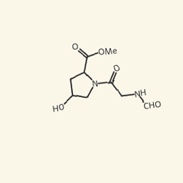 COC(=O)C1CC(O)CN1C(=O)CNC=O